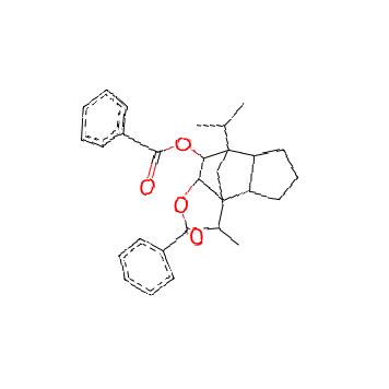 CC(C)C12CC(C(C)C)(C3CCCC31)C(OC(=O)c1ccccc1)C2OC(=O)c1ccccc1